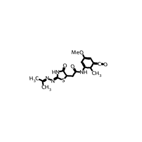 COC1=CC(=C=O)C(C)C(NC(=O)CC2SC(=NN=C(C)C)NC2=O)=C1